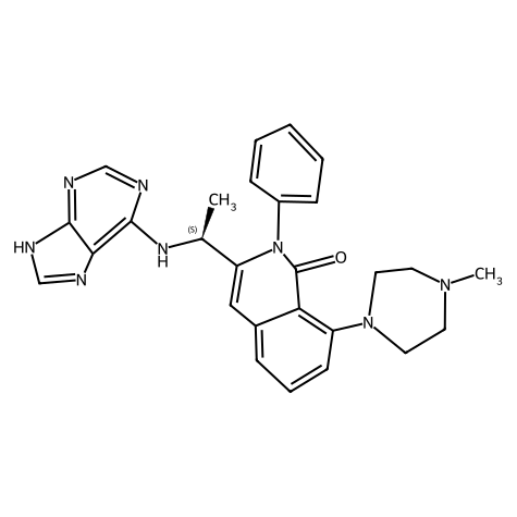 C[C@H](Nc1ncnc2[nH]cnc12)c1cc2cccc(N3CCN(C)CC3)c2c(=O)n1-c1ccccc1